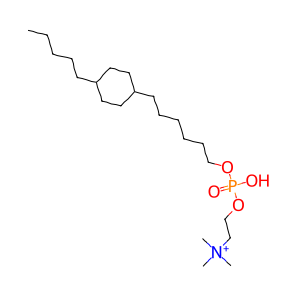 CCCCCC1CCC(CCCCCCOP(=O)(O)OCC[N+](C)(C)C)CC1